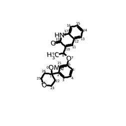 COC1(c2cccc(OC(C)c3cc4ccccc4[nH]c3=O)c2)CCOCC1